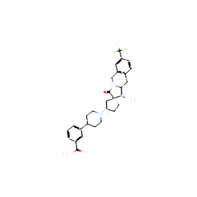 CC1C2Cc3ccc(C(F)(F)F)cc3CN2C(=O)[C@]12CC[C@@H](N1CCC(c3cccc(C(=O)O)c3)CC1)C2